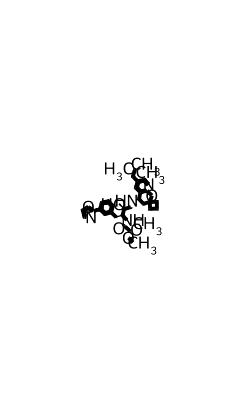 COC(OC)C(=O)N[C@@H](Cc1cccc(-c2ncco2)c1)[C@@H](O)CN[C@H]1CC2(CCC2)Oc2ncc(CC(C)(C)C)cc21